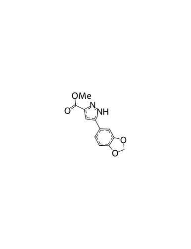 COC(=O)c1cc(-c2ccc3c(c2)OCO3)[nH]n1